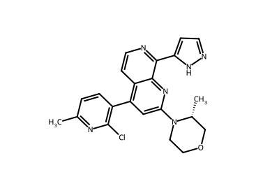 Cc1ccc(-c2cc(N3CCOC[C@H]3C)nc3c(-c4ccn[nH]4)nccc23)c(Cl)n1